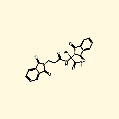 CC(C)C(NC(=O)CCN1C(=O)c2ccccc2C1=O)(C([NH])=O)N1C(=O)c2ccccc2C1=O